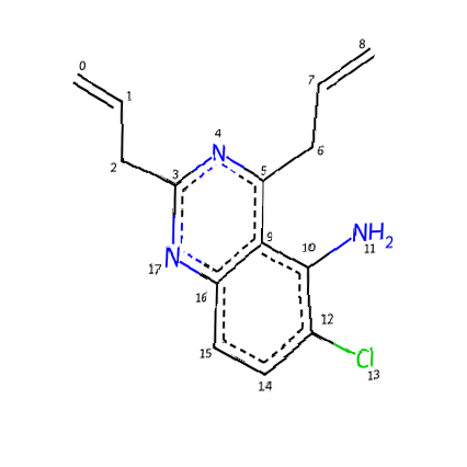 C=CCc1nc(CC=C)c2c(N)c(Cl)ccc2n1